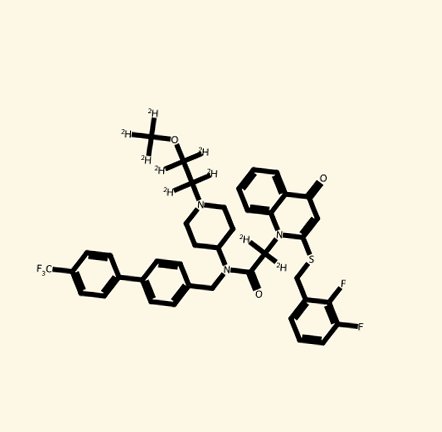 [2H]C([2H])([2H])OC([2H])([2H])C([2H])([2H])N1CCC(N(Cc2ccc(-c3ccc(C(F)(F)F)cc3)cc2)C(=O)C([2H])([2H])n2c(SCc3cccc(F)c3F)cc(=O)c3ccccc32)CC1